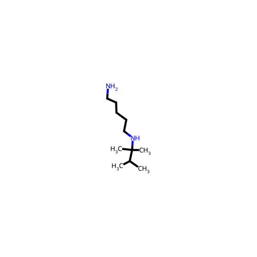 CC(C)C(C)(C)NCCCCCN